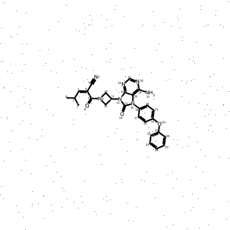 CC(C)/C=C(/C#N)C(=O)N1CC(n2c(=O)n(-c3ccc(Oc4ccccc4)cc3)c3c(N)ncnc32)C1